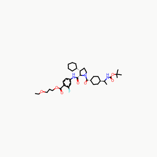 CCOCCCOC(=O)c1ccc(NC(=O)[C@@H]2[C@H](C3CCCCC3)CCN2C(=O)[C@H]2CC[C@H](C(C)NC(=O)OC(C)(C)C)CC2)cc1F